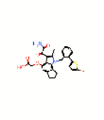 Cc1c(C(=O)C(N)=O)c2c(OCC(=O)O)cc3c(c2n1Cc1ccccc1-c1ccc(Br)s1)CCC3